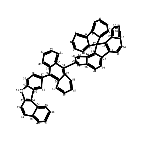 c1ccc2c(c1)-c1ccccc1C21c2c(ccc3ccccc23)-c2ccc3cc(-c4c5ccccc5c(-c5ccc6oc7ccc8ccccc8c7c6c5)c5ccccc45)ccc3c21